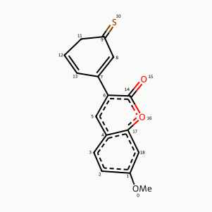 COc1ccc2cc(C3=CC(=S)CC=C3)c(=O)oc2c1